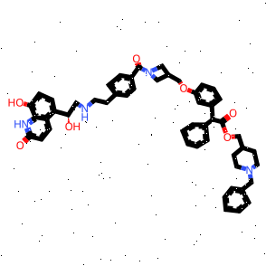 O=C(OCC1CCN(Cc2ccccc2)CC1)C(c1ccccc1)c1cccc(OCC2CN(C(=O)c3ccc(CCNC[C@H](O)c4ccc(O)c5[nH]c(=O)ccc45)cc3)C2)c1